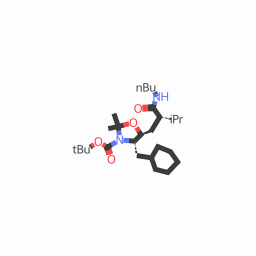 CCCCNC(=O)[C@@H](C[C@@H]1OC(C)(C)N(C(=O)OC(C)(C)C)[C@H]1CC1CCCCC1)C(C)C